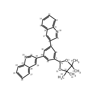 CC1(C)OB(c2cc(-c3cnc4ccccc4c3)cc(-c3cnc4ccccc4c3)c2)OC1(C)C